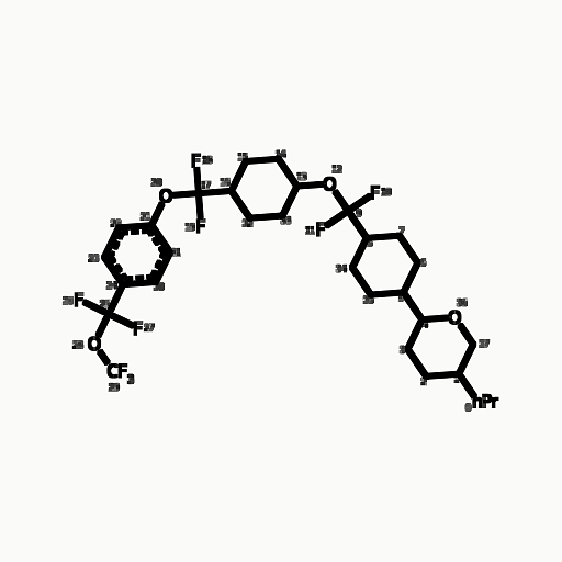 CCCC1CCC(C2CCC(C(F)(F)OC3CCC(C(F)(F)Oc4ccc(C(F)(F)OC(F)(F)F)cc4)CC3)CC2)OC1